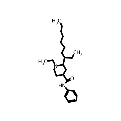 CCCCCCCC(CC)C1CC(C(=O)Nc2ccccc2)CCN1CC